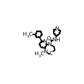 Cc1cccc(-c2ccc3c(n2)N(C(=O)Nc2ccncc2)CCCCN3C)c1